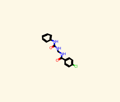 O=C(NCNC(=O)c1ccc(Cl)cc1)Nc1ccccc1